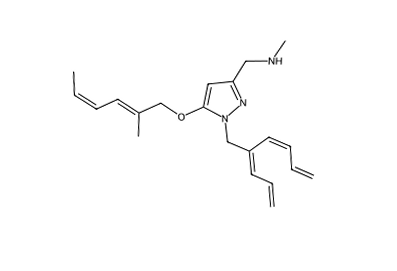 C=C/C=C\C(=C/C=C)Cn1nc(CNC)cc1OC/C(C)=C/C=C\C